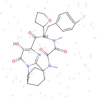 CN(CC1CCCO1)C(=O)C(=O)N(C)C12CCC(CC1)Cn1c2nc(C(=O)NCc2ccc(F)cc2)c(O)c1=O